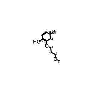 COCCCOC1=C(O)C=CC(Br)C1